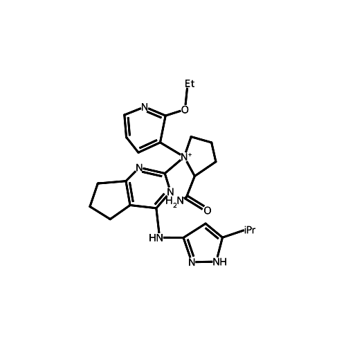 CCOc1ncccc1[N+]1(c2nc3c(c(Nc4cc(C(C)C)[nH]n4)n2)CCC3)CCCC1C(N)=O